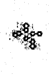 Cc1cc2c3c(c1)N(c1ccc4c(c1C)C(C)(C)CCC4(C)C)c1cc(-c4ccccc4)ccc1B3c1cc3c(cc1N2c1cc2c(cc1C)C(C)(C)CC2(C)C)C(C)(C)CCC3(C)C